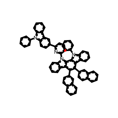 c1ccc(-n2c3ccccc3c3cc(-c4cccc(-n5c6ccccc6c6c(-c7ccc8ccccc8c7)c(-c7ccc8ccccc8c7)c7c8ccccc8n(-c8ccccc8)c7c65)n4)ccc32)cc1